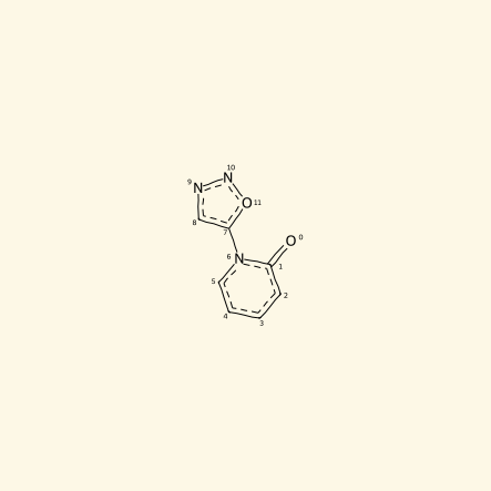 O=c1ccccn1-c1cnno1